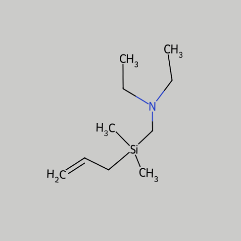 C=CC[Si](C)(C)CN(CC)CC